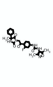 Cc1noc(C)c1NC(=O)Nc1ccc(C(=O)CN2C(=O)NC(C)(c3ccccc3)C2=O)c(F)c1